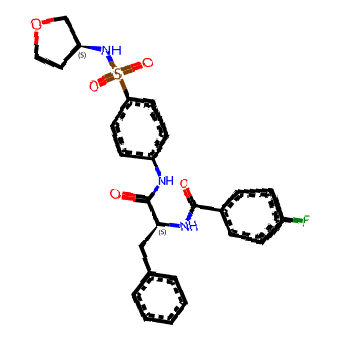 O=C(N[C@@H](Cc1ccccc1)C(=O)Nc1ccc(S(=O)(=O)N[C@H]2CCOC2)cc1)c1ccc(F)cc1